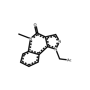 CC(=O)Cn1ncc2c(=O)n(C)c3ccccc3c21